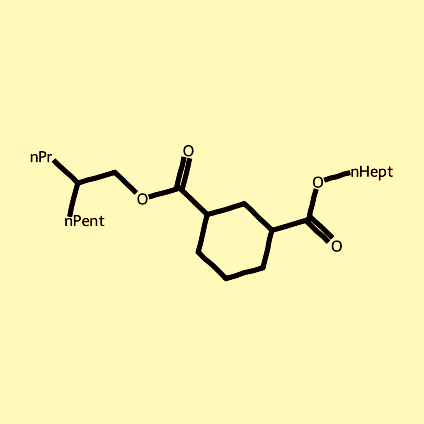 CCCCCCCOC(=O)C1CCCC(C(=O)OCC(CCC)CCCCC)C1